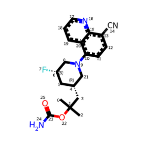 CC(C)(C[C@@H]1C[C@H](F)CN(c2ccc(C#N)c3ncccc23)C1)OC(N)=O